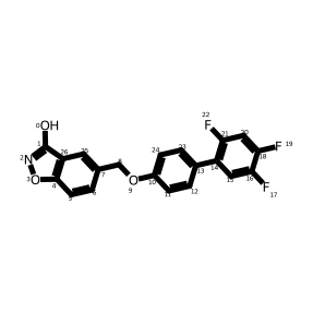 Oc1noc2ccc(COc3ccc(-c4cc(F)c(F)cc4F)cc3)cc12